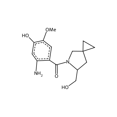 COc1cc(C(=O)N2CC3(CC3)CC2CO)c(N)cc1O